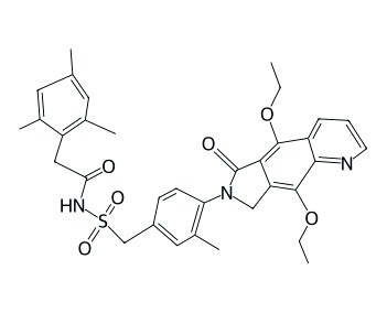 CCOc1c2c(c(OCC)c3ncccc13)CN(c1ccc(CS(=O)(=O)NC(=O)Cc3c(C)cc(C)cc3C)cc1C)C2=O